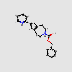 O=C(OCc1ccccc1)N1CCC2=C(CC1)CC(c1ccccn1)=C2